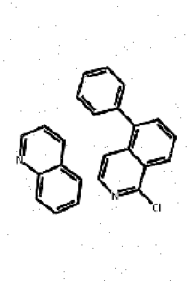 Clc1nccc2c(-c3ccccc3)cccc12.c1ccc2ncccc2c1